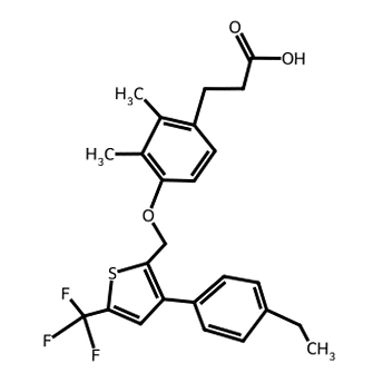 CCc1ccc(-c2cc(C(F)(F)F)sc2COc2ccc(CCC(=O)O)c(C)c2C)cc1